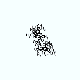 CC(C)(Sc1cc(C(C)(C)C)c(O)c(C(C)(C)C)c1)C(=O)CO[PH](=O)OCC(=O)C(C)(C)Sc1cc(C(C)(C)C)c(O)c(C(C)(C)C)c1